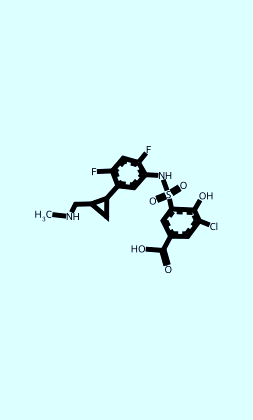 CNCC1CC1c1cc(NS(=O)(=O)c2cc(C(=O)O)cc(Cl)c2O)c(F)cc1F